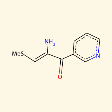 CSC=C(N)C(=O)c1cccnc1